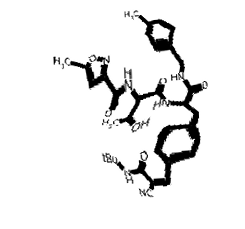 Cc1ccc(CNC(=O)C(Cc2ccc(C=C(C#N)C(=O)NC(C)(C)C)cc2)NC(=O)C(NC(=O)c2cc(C)on2)C(C)O)cc1